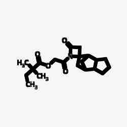 CCC(C)(C)C(=O)OCC(=O)N1C(=O)CC12CC1CC2C2CCCC12